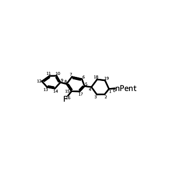 CCCCCC1CCC(c2ccc(-c3ccccc3)c(F)c2)CC1